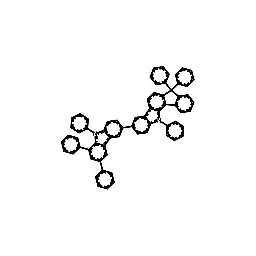 c1ccc(-c2cc(-c3ccccc3)c3c(c2)c2cc(-c4ccc5c(c4)c4ccc6c(c4n5-c4ccccc4)-c4ccccc4C6(c4ccccc4)c4ccccc4)ccc2n3-c2ccccc2)cc1